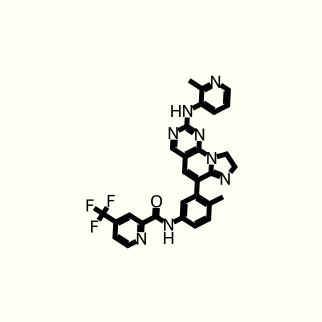 Cc1ccc(NC(=O)c2cc(C(F)(F)F)ccn2)cc1C1=Cc2cnc(Nc3cccnc3C)nc2N2CCN=C12